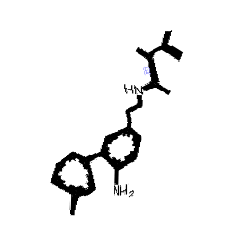 C=C(C)/C(C)=C(\C)NCCc1ccc(N)c(-c2cccc(C)c2)c1